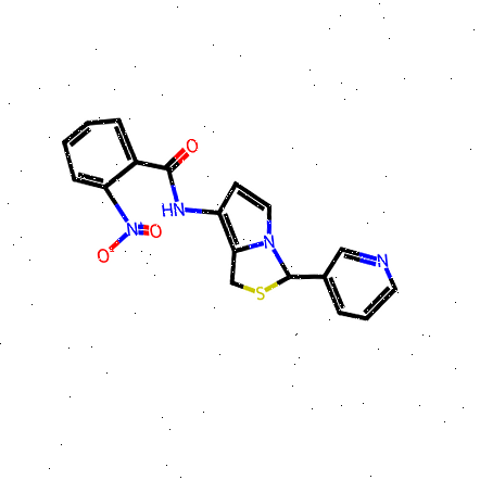 O=C(Nc1ccn2c1CSC2c1cccnc1)c1ccccc1[N+](=O)[O-]